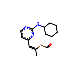 C/C(=C/c1ccnc(NC2CCCCC2)n1)SC=O